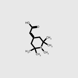 CN1C(C)(C)CC(=CC(=O)O)CC1(C)C